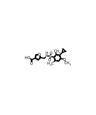 COc1cc(C)c(S(=O)(=O)NCc2cc(C(=O)O)co2)c(C)c1C1CC1